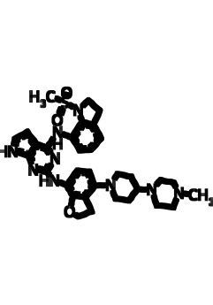 CN1CCN(C2CCN(c3ccc(Nc4nc(Nc5cccc6c5N(S(C)(=O)=O)CC6)c5cc[nH]c5n4)c4c3CCO4)CC2)CC1